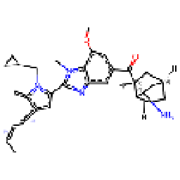 C=c1/c(=C\C=C/C)cc(-c2nc3cc(C(=O)[C@@H]4C[C@H]5CCC4[C@@H](N)C5)cc(OC)c3n2C)n1CC1CC1